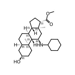 COC(=O)[C@H]1CC[C@H]2[C@@H]3CC[C@@H]4C[C@H](O)CC[C@]4(C)[C@H]3[C@H](NC3CCCCC3)C[C@]12C